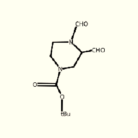 CC(C)(C)OC(=O)N1CCN(C=O)C(C=O)C1